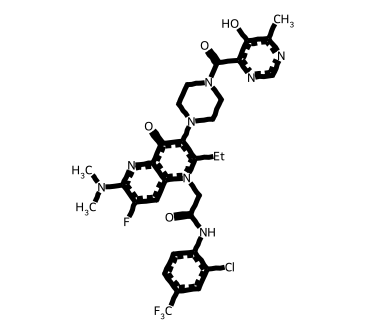 CCc1c(N2CCN(C(=O)c3ncnc(C)c3O)CC2)c(=O)c2nc(N(C)C)c(F)cc2n1CC(=O)Nc1ccc(C(F)(F)F)cc1Cl